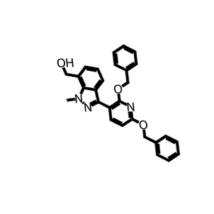 Cn1nc(-c2ccc(OCc3ccccc3)nc2OCc2ccccc2)c2cccc(CO)c21